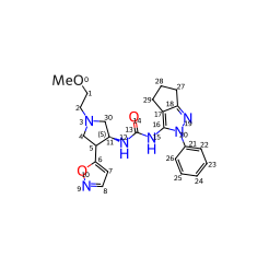 COCCN1CC(c2ccno2)[C@H](NC(=O)Nc2c3c(nn2-c2ccccc2)CCC3)C1